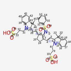 CN(C1=C(/C=C/C2=[N+](CCCS(=O)(=O)O)c3ccccc3C2(C)C)CC/C1=C\C=C1\N(CCCS(=O)(=O)O)c2ccccc2C1(C)C)S(=O)(=O)c1ccccc1